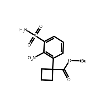 CC(C)(C)OC(=O)C1(c2cccc(S(N)(=O)=O)c2[N+](=O)[O-])CCC1